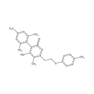 Cc1ccc(SCCc2oc(=O)c(-c3c(C)cc(C)cc3C)c(O)c2C)cc1